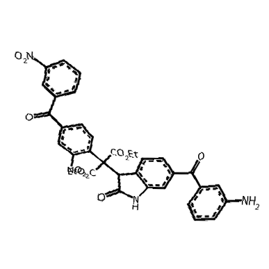 CCOC(=O)C(C(=O)OCC)(c1ccc(C(=O)c2cccc([N+](=O)[O-])c2)cc1[N+](=O)[O-])C1C(=O)Nc2cc(C(=O)c3cccc(N)c3)ccc21